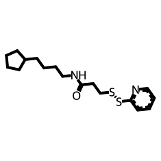 O=C(CCSSc1ccccn1)NCCCCC1CCCC1